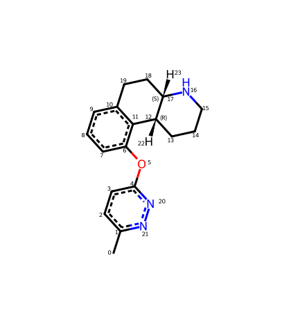 Cc1ccc(Oc2cccc3c2[C@H]2CCCN[C@H]2CC3)nn1